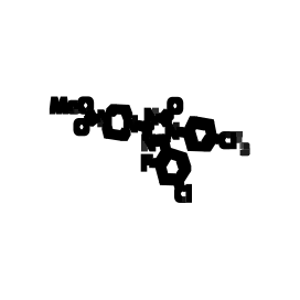 COC(=O)N1CCN(c2nc(-c3ccc(Cl)cc3F)n(-c3ccc(C(F)(F)F)cc3)c(=O)n2)CC1